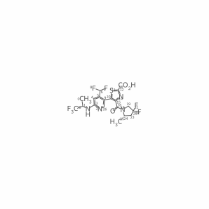 CC(Nc1cc(C(F)F)c(-c2sc(C(=O)O)nc2C(=O)N2CC(F)(F)C[C@@H]2C)cn1)C(F)(F)F